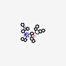 c1ccc(-n2c3ccccc3c3c(-c4nc(-c5cccc6ccccc56)nc(-c5ccc([C@H]6CCc7cc8ccccc8cc7-c7c6ccc6ccccc76)c6oc7c8ccccc8ccc7c56)n4)cccc32)cc1